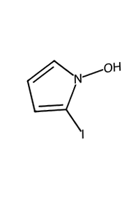 On1cccc1I